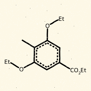 CCOC(=O)c1cc(OCC)c(C)c(OCC)c1